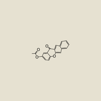 CC(=O)Oc1ccc2oc3cc4ccccc4cc3c(=O)c2c1